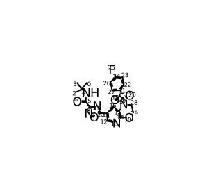 CC(C)(C)NC(=O)c1noc(-c2cnc3c(c2)N(S(=O)(=O)c2ccc(F)cc2)CCO3)n1